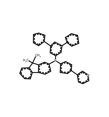 CC1(C)c2ccccc2-c2ccc(N(c3ccc(-c4cccnc4)cc3)c3cc(-c4ccccc4)cc(-c4ccccc4)c3)cc21